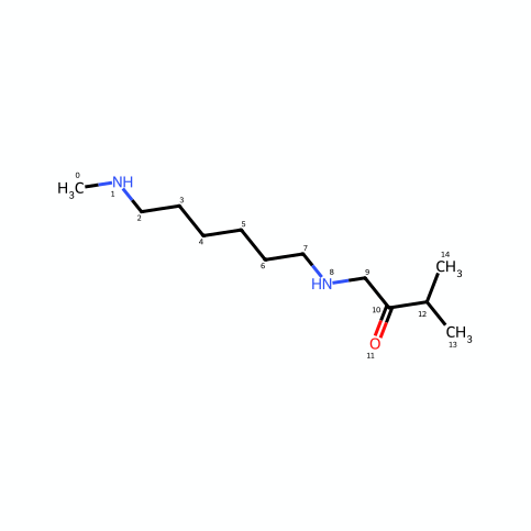 CNCCCCCCNCC(=O)C(C)C